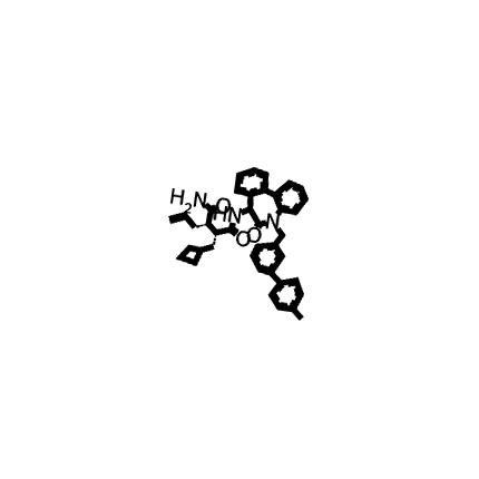 C=CC[C@H](C(N)=O)[C@@H](CC1CCC1)C(=O)NC1C(=O)N(Cc2cccc(-c3ccc(C)cc3)c2)c2ccccc2-c2ccccc21